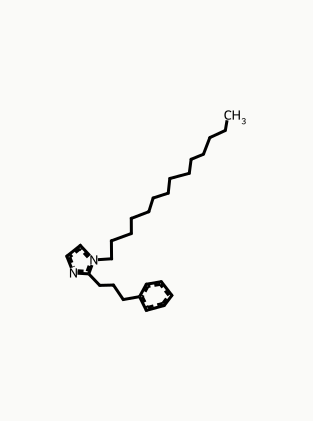 CCCCCCCCCCCCCCn1ccnc1CCCc1ccccc1